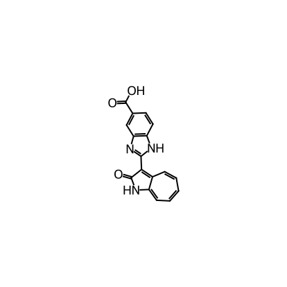 O=C(O)c1ccc2[nH]c(-c3c4cccccc-4[nH]c3=O)nc2c1